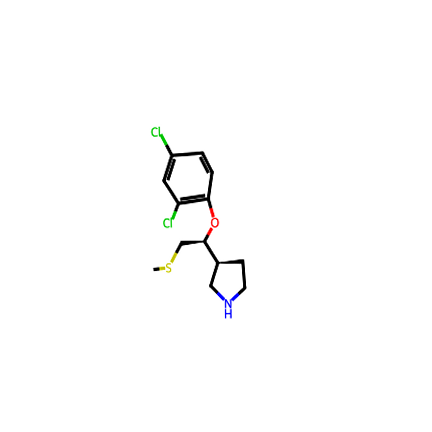 CSC[C@@H](Oc1ccc(Cl)cc1Cl)[C@H]1CCNC1